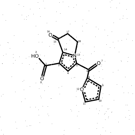 O=C(O)c1cc(C(=O)c2ccco2)n2c1C(=O)CC2